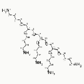 NCCCCOCC(COCC(COCC(COCCCCN)OCCCCN)OCCCCN)OCCCCN